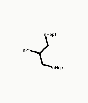 CCCCCCCCC(CCC)CCCCCCCC